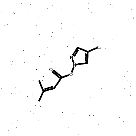 CC(C)=CC(=O)On1cc(Cl)cn1